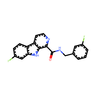 O=C(NCc1cccc(F)c1)c1nccc2c1[nH]c1cc(F)ccc12